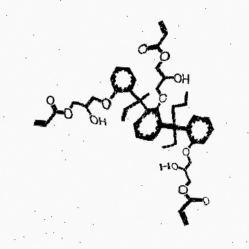 C=CC(=O)OCC(O)COc1ccccc1C(C)(CC)c1cccc(C(CC)(CCC)c2ccccc2OCC(O)COC(=O)C=C)c1OCC(O)COC(=O)C=C